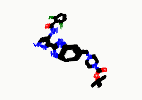 CC(C)(C)OC(=O)N1CCN(CC2=CC3N=C(c4n[nH]cc4NC(=O)c4c(F)cccc4F)NC3C=C2)CC1